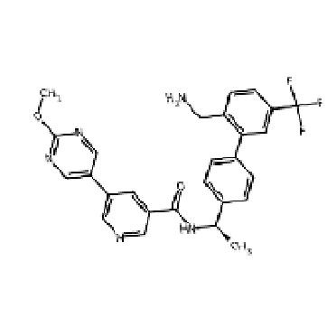 COc1ncc(-c2cncc(C(=O)N[C@H](C)c3ccc(-c4cc(C(F)(F)F)ccc4CN)cc3)c2)cn1